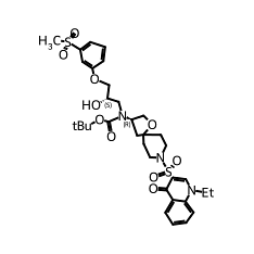 CCn1cc(S(=O)(=O)N2CCC3(CC2)C[C@@H](N(C[C@H](O)COc2cccc(S(C)(=O)=O)c2)C(=O)OC(C)(C)C)CO3)c(=O)c2ccccc21